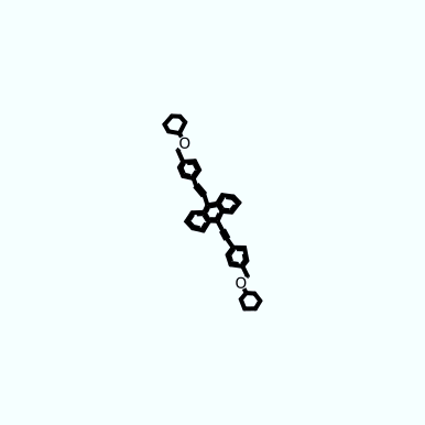 C(#Cc1c2ccccc2c(C#Cc2ccc(COC3CCCCC3)cc2)c2ccccc12)c1ccc(COC2CCCCC2)cc1